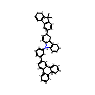 CC1(C)C2=C(C=CCC2)c2cc(C3C=CC4C(C3)C3=C(C=CCC3)N4c3cccc(-c4ccc5c6ccccc6c6ccccc6c5c4)c3)ccc21